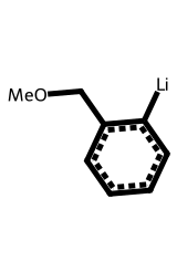 [Li][c]1ccccc1COC